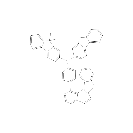 CC1(C)c2ccccc2-c2ccc(N(c3ccc(-c4cccc5ccc6oc7ccccc7c6c45)cc3)c3ccc4c(c3)sc3ccccc34)cc21